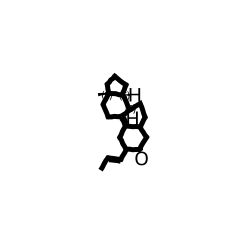 CC=CC1CC2=C3CC[C@]4(C)CCC[C@H]4[C@@H]3CCC2CC1=O